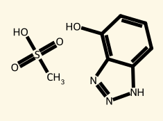 CS(=O)(=O)O.Oc1cccc2[nH]nnc12